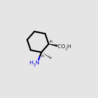 C[C@]1(N)CCCC[C@H]1C(=O)O